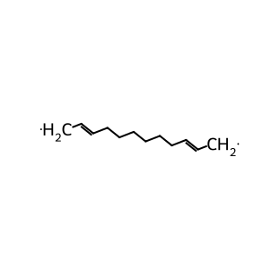 [CH2]/C=C/CCCCCC/C=C/[CH2]